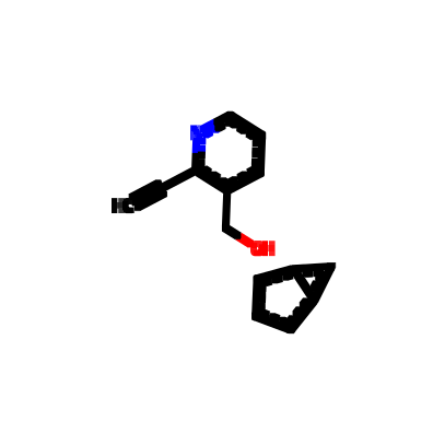 C#Cc1ncccc1CO.c1cc2cc-2c1